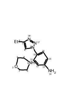 C1COCCN1.CCc1cn(-c2ccc(N)cc2)nn1